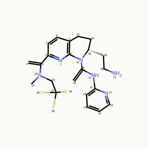 C=C(c1ccc2c(n1)N(C(=C)Nc1ccccn1)[C@@H](CCN)CC2)N(C)CC(F)(F)F